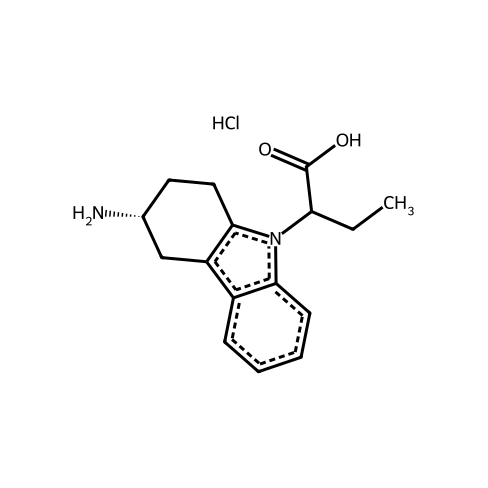 CCC(C(=O)O)n1c2c(c3ccccc31)C[C@H](N)CC2.Cl